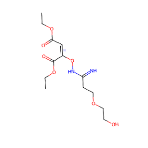 CCOC(=O)/C=C(/ONC(=N)CCOCCO)C(=O)OCC